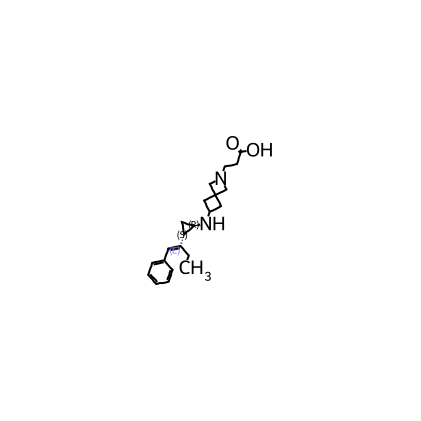 CC/C(=C\c1ccccc1)[C@@H]1C[C@H]1NC1CC2(C1)CN(CCC(=O)O)C2